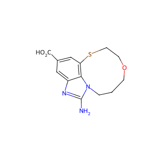 Nc1nc2cc(C(=O)O)cc3c2n1CCCOCCS3